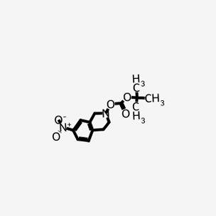 CC(C)(C)OC(=O)ON1CCc2ccc([N+](=O)[O-])cc2C1